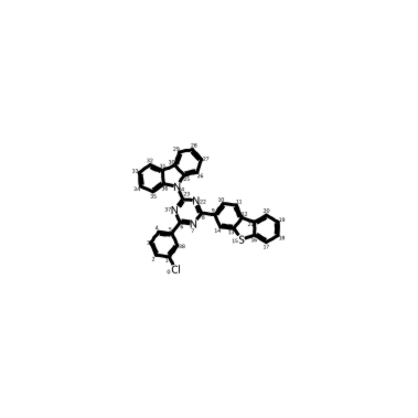 Clc1cccc(-c2nc(-c3ccc4c(c3)sc3ccccc34)nc(-n3c4ccccc4c4ccccc43)n2)c1